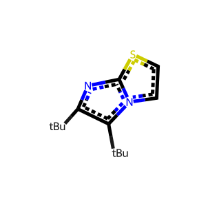 CC(C)(C)c1nc2sccn2c1C(C)(C)C